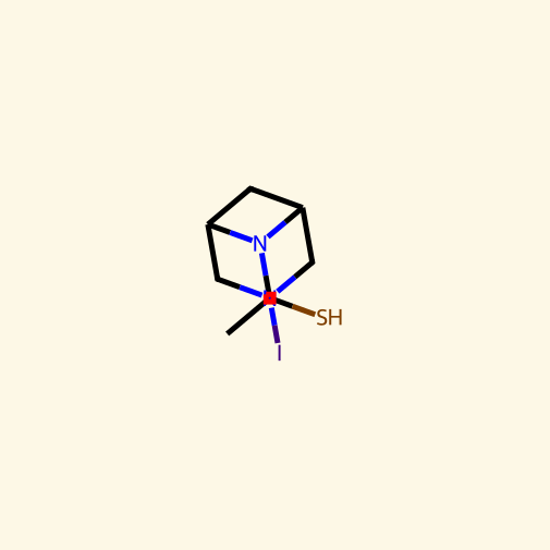 CC(S)N1C2CC1CN(I)C2